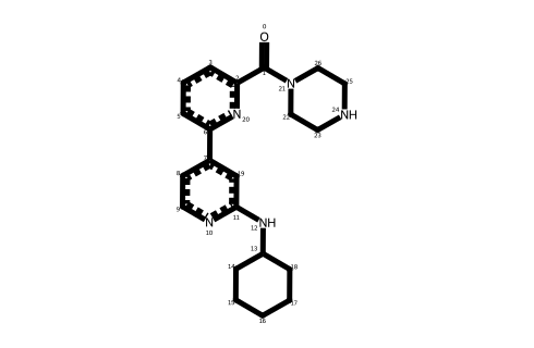 O=C(c1cccc(-c2ccnc(NC3CCCCC3)c2)n1)N1CCNCC1